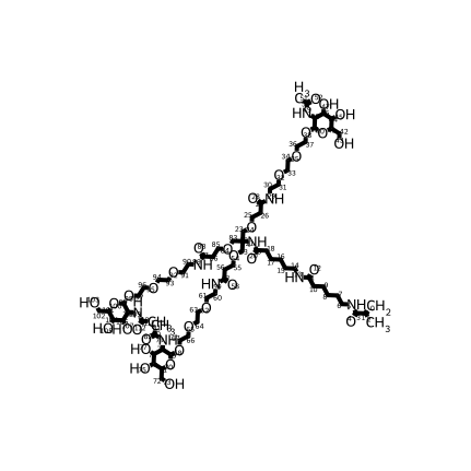 C=C(C)C(=O)NCCCCCC(=O)NCCCCCC(=O)NC(COCCC(=O)NCCOCCOCCOC1OC(CO)C(O)C(O)C1NC(C)=O)(COCCC(=O)NCCOCCOCCOC1OC(CO)C(O)C(O)C1NC(C)=O)COCCC(=O)NCCOCCOCCOC1OC(CO)C(O)C(O)C1NC(C)=O